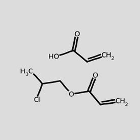 C=CC(=O)O.C=CC(=O)OCC(C)Cl